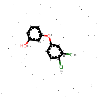 Oc1cccc(Oc2ccc(Cl)c(Cl)c2)c1